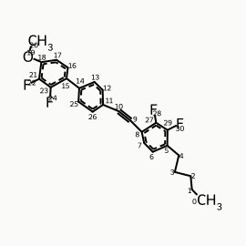 CCCCCc1ccc(C#Cc2ccc(-c3ccc(OC)c(F)c3F)cc2)c(F)c1F